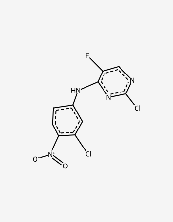 O=[N+]([O-])c1ccc(Nc2nc(Cl)ncc2F)cc1Cl